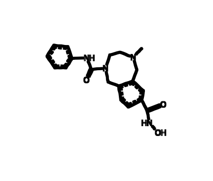 CN1CCN(C(=O)Nc2ccccc2)Cc2ccc(C(=O)NO)cc2C1